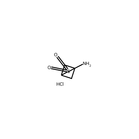 Cl.NC12CC(C1)S(=O)(=O)C2